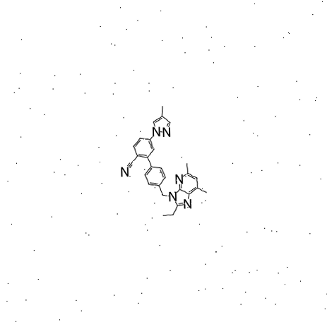 CCc1nc2c(C)cc(C)nc2n1Cc1ccc(-c2cc(-n3cc(C)cn3)ccc2C#N)cc1